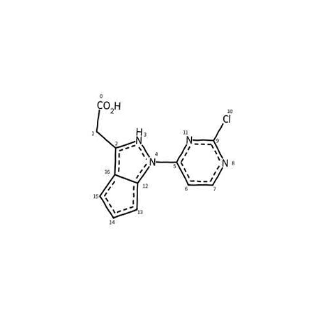 O=C(O)Cc1[nH]n(-c2ccnc(Cl)n2)c2cccc1-2